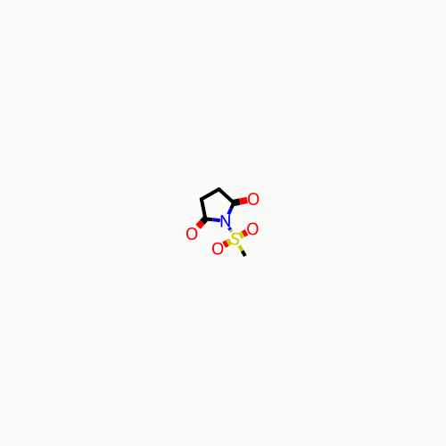 CS(=O)(=O)N1C(=O)CCC1=O